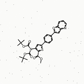 COC(=O)c1sc(-c2ccc(-c3cc4ncccc4o3)cc2)cc1N(C(=O)OC(C)(C)C)C(=O)OC(C)(C)C